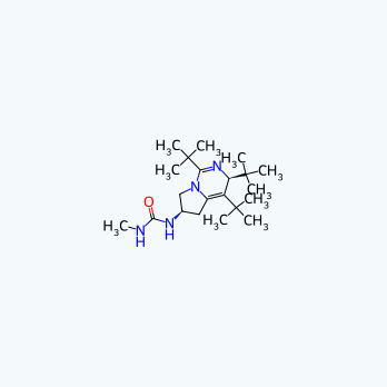 CNC(=O)N[C@@H]1CC2=C(C(C)(C)C)[C@H](C(C)(C)C)N=C(C(C)(C)C)N2C1